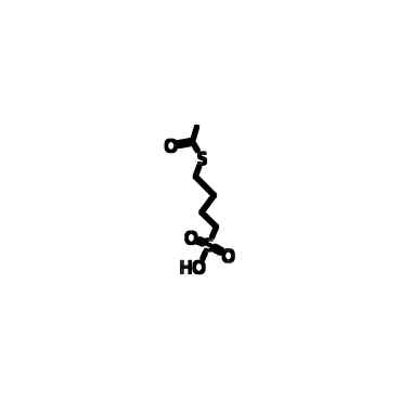 CC(=O)SCCCCS(=O)(=O)O